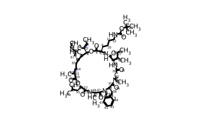 C/C=C(\C)[C@H]1OC(=O)[C@@H](CCCCNC(=O)OC(C)(C)C)NC(=O)[C@H]([C@H](C)CC)NC(=O)CN(C)C(=O)[C@@H](Cc2ccccc2)N(C)C(=O)[C@H](C)NC(=O)[C@@H](CC(C)C)OC(=O)/C(C)=C/C[C@H](CCSC)[C@@H]1C